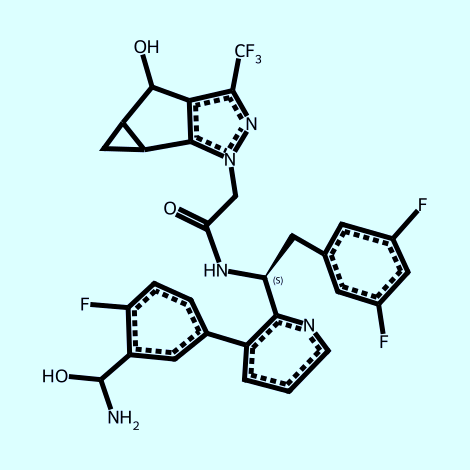 NC(O)c1cc(-c2cccnc2[C@H](Cc2cc(F)cc(F)c2)NC(=O)Cn2nc(C(F)(F)F)c3c2C2CC2C3O)ccc1F